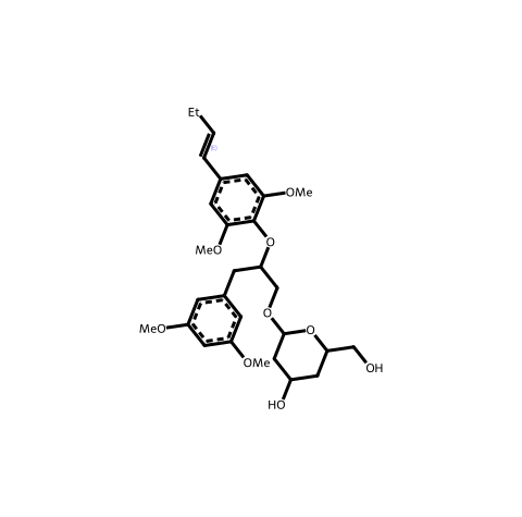 CC/C=C/c1cc(OC)c(OC(COC2CC(O)CC(CO)O2)Cc2cc(OC)cc(OC)c2)c(OC)c1